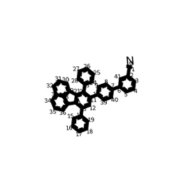 N#Cc1cccc(-c2ccc(-c3cc(-c4ccccc4)c4c(c3-c3ccccc3)-c3cccc5cccc-4c35)cc2)c1